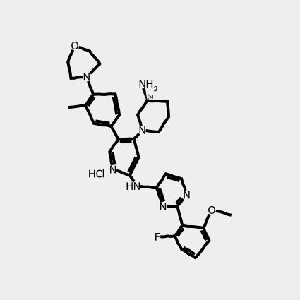 COc1cccc(F)c1-c1nccc(Nc2cc(N3CCC[C@H](N)C3)c(-c3ccc(N4CCOCC4)c(C)c3)cn2)n1.Cl